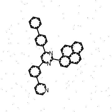 c1ccc(-c2ccc(-c3cc(-c4cccc(-c5cccnc5)c4)nc(-c4ccc5ccc6cccc7ccc4c5c67)n3)cc2)cc1